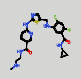 CNCCNC(=O)c1ccc(Nc2ncc(CNc3cc(C(=O)NC4CC4)c(F)cc3F)s2)nc1